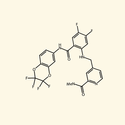 CNC(=O)c1cc(CNc2cc(F)c(F)cc2C(=O)Nc2ccc3c(c2)OC(F)(F)C(F)(F)O3)ccn1